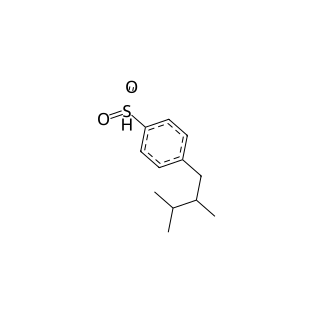 CC(C)C(C)Cc1ccc([SH](=O)=O)cc1